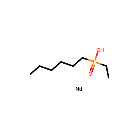 CCCCCCP(=O)(O)CC.[Nd]